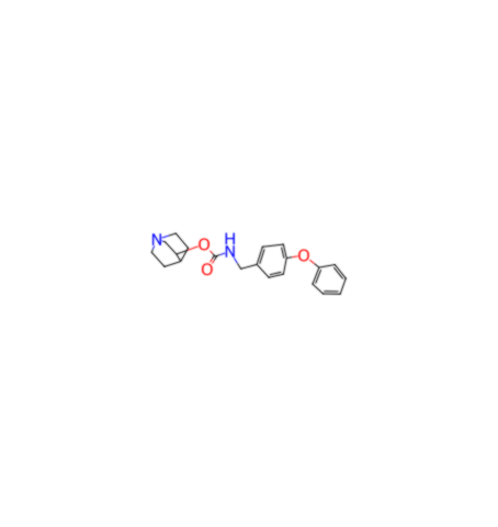 O=C(NCc1ccc(Oc2ccccc2)cc1)OC1CN2CCC1CC2